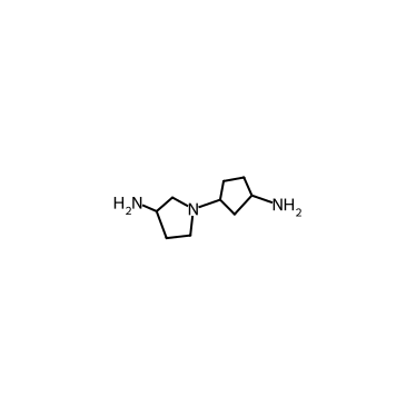 NC1CCC(N2CCC(N)C2)C1